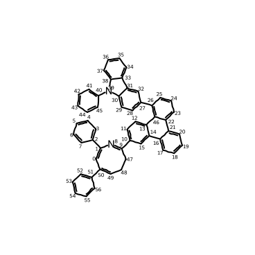 C1=C(c2ccccc2)\N=C(\c2ccc3c(c2)c2ccccc2c2cccc(-c4ccc5c(c4)c4ccccc4n5-c4ccccc4)c23)CC\C=C/1c1ccccc1